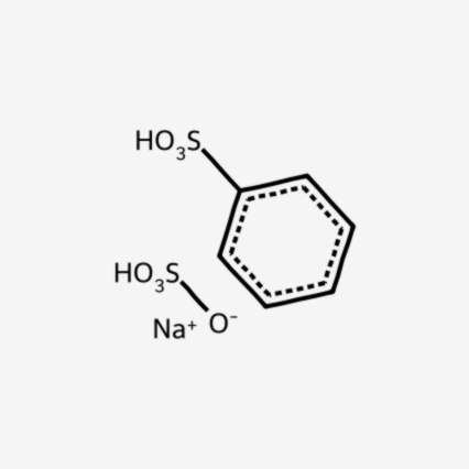 O=S(=O)(O)c1ccccc1.O=S(=O)([O-])O.[Na+]